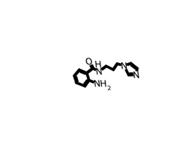 Nc1ccccc1C(=O)NCCCn1ccnc1